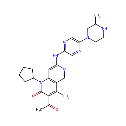 CC(=O)c1c(C)c2cnc(Nc3cnc(N4CCNC(C)C4)cn3)cc2n(C2CCCC2)c1=O